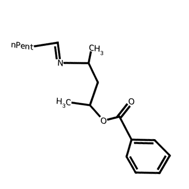 CCCCCC=NC(C)CC(C)OC(=O)c1ccccc1